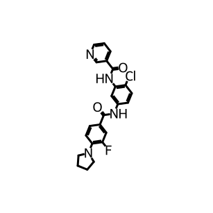 O=C(Nc1ccc(Cl)c(NC(=O)c2cccnc2)c1)c1ccc(N2CCCC2)c(F)c1